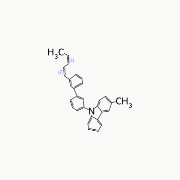 C/C=C\C=C/c1cccc(-c2cccc(-n3c4ccccc4c4cc(C)ccc43)c2)c1